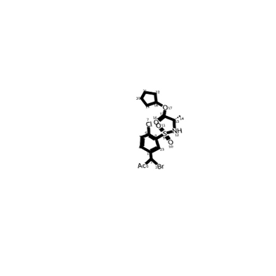 CC(=O)C(Br)c1ccc(Cl)c(S(=O)(=O)N[C@@H](C)C(=O)OC2CCCC2)c1